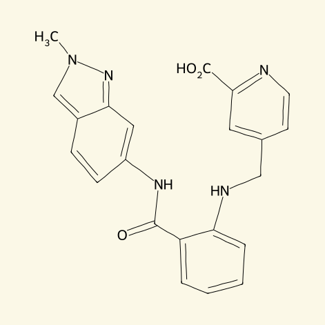 Cn1cc2ccc(NC(=O)c3ccccc3NCc3ccnc(C(=O)O)c3)cc2n1